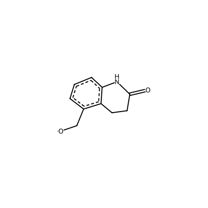 [O]Cc1cccc2c1CCC(=O)N2